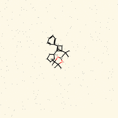 CC1(C)OB(C(C)(C)C23CC(c4ccccc4)(C2)C3C2CCCC2)OC1(C)C